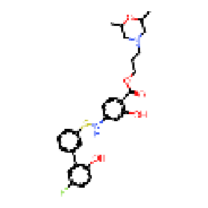 CC1CN(CCCOC(=O)c2ccc(NSc3cccc(-c4cc(F)ccc4O)c3)cc2O)CC(C)O1